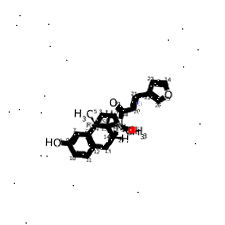 CN1CC[C@]2(C)c3cc(O)ccc3C[C@@H]1[C@H]2N(C)C(=O)/C=C/c1ccoc1